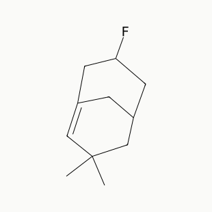 CC1(C)C=C2CC(F)CC(C2)C1